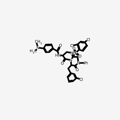 CC(C)N1CC2(S(=O)(=O)c3ccc(Cl)cc3Cl)NCC(NC(=O)c3ccc(N(C)C)cc3)C(=O)N2C(Cc2cccc(Cl)c2)C1=O